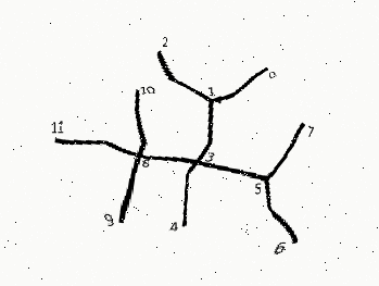 C[C](C)C(C)(C(C)C)C(C)(C)C